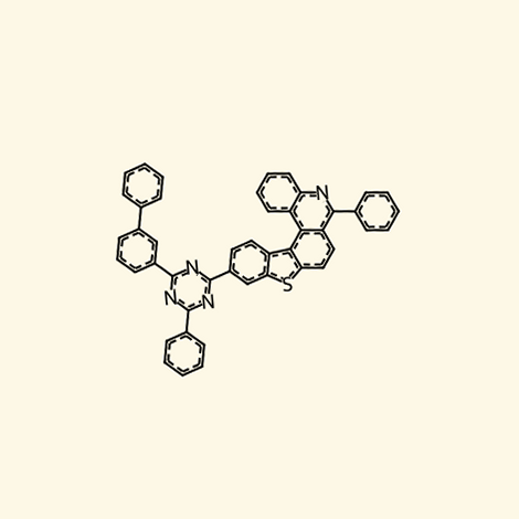 c1ccc(-c2cccc(-c3nc(-c4ccccc4)nc(-c4ccc5c(c4)sc4ccc6c(-c7ccccc7)nc7ccccc7c6c45)n3)c2)cc1